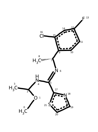 COC(C)N/C(=N\[C@H](C)c1ccc(F)cc1Cl)c1nccs1